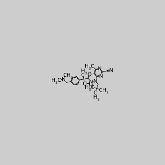 Cc1cc(N(CC(C)(C)C)NC(=O)C(C)(C)c2ccc(CN(C)C)cc2)nc(C#N)n1